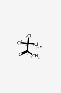 CC(=O)C(Cl)(Cl)Cl.F